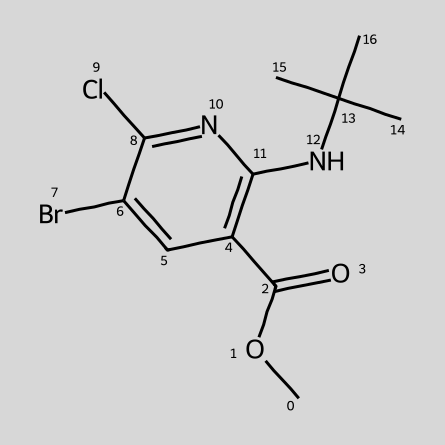 COC(=O)c1cc(Br)c(Cl)nc1NC(C)(C)C